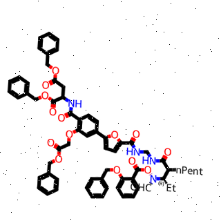 CCCCCC(C(=O)NCNC(=O)c1ccc(-c2ccc(C(=O)NC(CC(=O)OCc3ccccc3)C(=O)OCc3ccccc3)c(OCC(=O)OCc3ccccc3)c2)o1)[C@@H](CC)N(C=O)OC(=O)c1ccccc1OCc1ccccc1